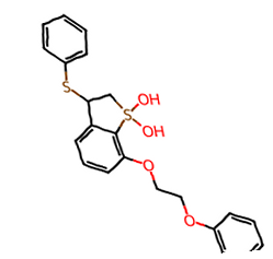 OS1(O)CC(Sc2ccccc2)c2cccc(OCCOc3ccccc3)c21